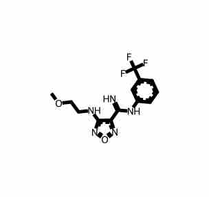 COCCNc1nonc1C(=N)Nc1cccc(C(F)(F)F)c1